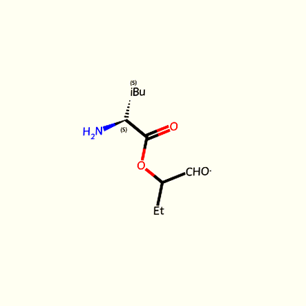 CCC([C]=O)OC(=O)[C@@H](N)[C@@H](C)CC